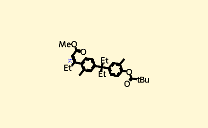 CC/C(=C/C(=O)OC)c1ccc(C(CC)(CC)c2ccc(OC(=O)C(C)(C)C)c(C)c2)cc1C